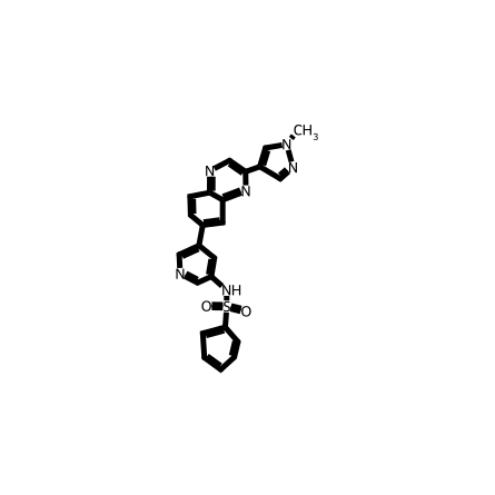 Cn1cc(-c2cnc3ccc(-c4cncc(NS(=O)(=O)c5ccccc5)c4)cc3n2)cn1